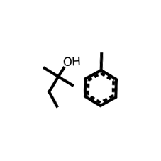 CCC(C)(C)O.Cc1ccccc1